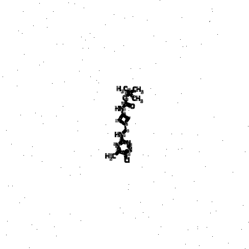 Cc1nc(NC[C@H]2C[C@@H](NC(=O)OC(C)(C)C)C2)nnc1Cl